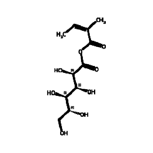 CC=C(C)C(=O)OC(=O)[C@H](O)[C@@H](O)[C@H](O)[C@H](O)CO